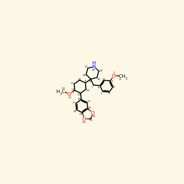 COc1cccc(CC2(C3CCC(OC)C(c4ccc5c(c4)OCO5)C3)CCNCC2)c1